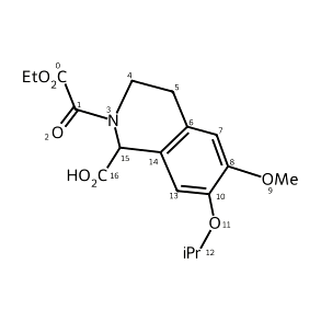 CCOC(=O)C(=O)N1CCc2cc(OC)c(OC(C)C)cc2C1C(=O)O